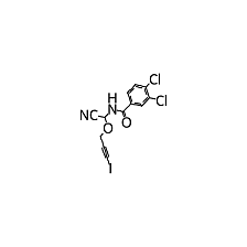 N#CC(NC(=O)c1ccc(Cl)c(Cl)c1)OCC#CI